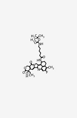 CC[C@@]1(O)C(=O)OCc2c1cc1n(c2=O)Cc2c-1nc1cc(F)c(C)c3c1c2[C@@H](NC(=O)CCCCCNC(=O)OC(C)(C)C)CC3